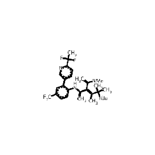 C=C(NC)/C(C(=C)Nc1ccc(C(F)(F)F)cc1-c1ccc(C(C)(F)F)nc1)=C(/C)C(C)(C)CCCC